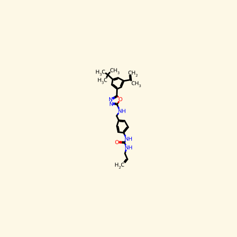 C=CCNC(=O)Nc1ccc(CNc2nnc(-c3cc(C(=C)C)cc(C(C)(C)C)c3)o2)cc1